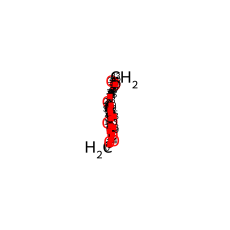 C=COC(=O)COc1ccc(C(=O)Oc2ccc(-c3ccc(OCCCCCCOC(=O)C=C)cc3)cc2)cc1